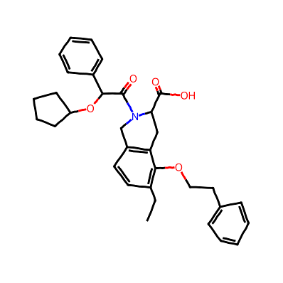 CCc1ccc2c(c1OCCc1ccccc1)CC(C(=O)O)N(C(=O)C(OC1CCCC1)c1ccccc1)C2